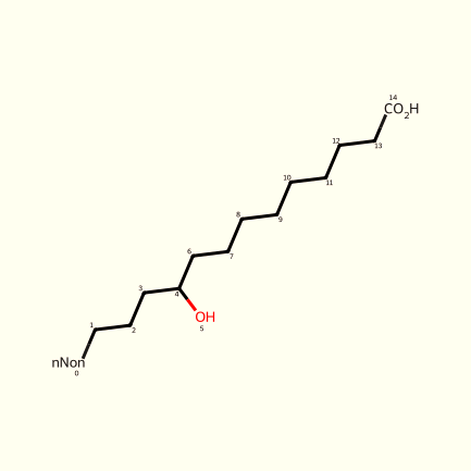 CCCCCCCCCCCCC(O)CCCCCCCCC(=O)O